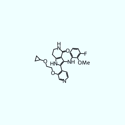 COc1c(F)cccc1Nc1c(-c2ccncc2OCCOC2CC2)[nH]c2c1C(=O)NCC2